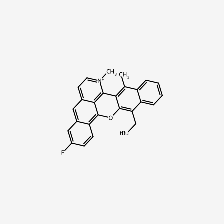 Cc1c2c(c(CC(C)(C)C)c3ccccc13)Oc1c3ccc(F)cc3cc3cc[n+](C)c-2c13